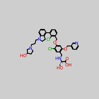 O=C(O)[C@H](CO)NCc1cc(Cl)c(OCc2cccc(-c3cccc4c3CCN4CCCN3CCC(O)C3)c2Cl)cc1OCc1cccnc1